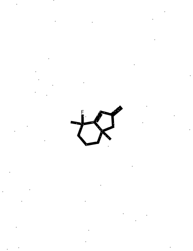 C=C1C=C2C(C)(F)CCCC2(C)C1